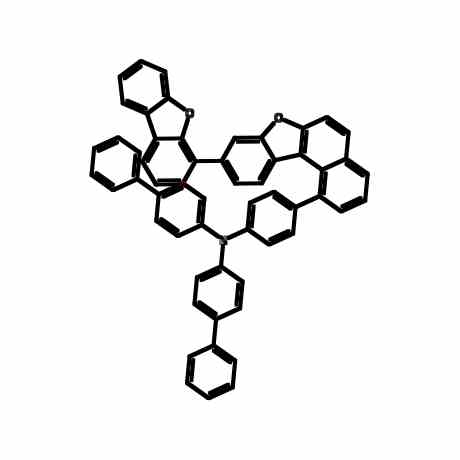 c1ccc(-c2ccc(N(c3ccc(-c4ccccc4)cc3)c3ccc(-c4cccc5ccc6oc7cc(-c8cccc9c8oc8ccccc89)ccc7c6c45)cc3)cc2)cc1